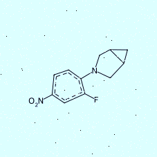 O=[N+]([O-])c1ccc(N2CC3CC3C2)c(F)c1